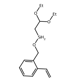 C=Cc1ccccc1CO[SiH2]CC(OCC)OCC